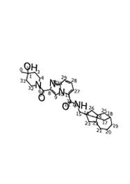 CC1(O)CCN(C(=O)c2cn3c(C(=O)NCC45CC6CCCC(C4)C(C6)C5)cccc3n2)CC1